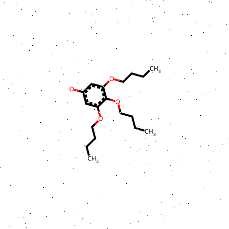 CCCCOc1cc([O])cc(OCCCC)c1OCCCC